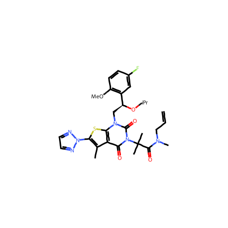 C=CCN(C)C(=O)C(C)(C)n1c(=O)c2c(C)c(-n3nccn3)sc2n(C[C@H](OC(C)C)c2cc(F)ccc2OC)c1=O